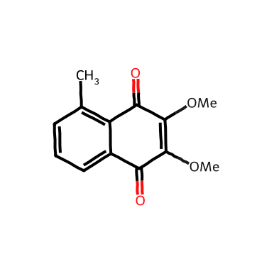 COC1=C(OC)C(=O)c2c(C)cccc2C1=O